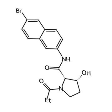 CCC(=O)N1CC[C@@H](O)[C@H]1C(=O)Nc1ccc2cc(Br)ccc2c1